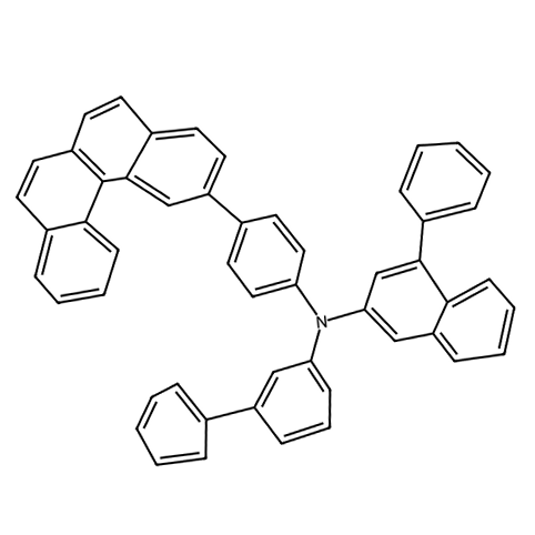 c1ccc(-c2cccc(N(c3ccc(-c4ccc5ccc6ccc7ccccc7c6c5c4)cc3)c3cc(-c4ccccc4)c4ccccc4c3)c2)cc1